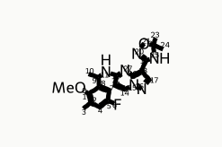 COc1c(C)cc(F)cc1C(C)Nc1ccn2ncc(C3=NOC(C)(C)N3)c2n1